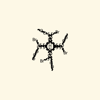 CCCOCCOCCSC1=C(SCCCBr)S/C(=C2\Sc3c4[nH]c(c3S2)C(C)(C)c2[nH]c(c3c2S/C(=C2\SC(SCCCBr)=C(SCCOCCOCCC)S2)S3)C(C)(C)c2[nH]c(c3c2S/C(=C2\SC(SCCCBr)=C(SCCOCCOCCC)S2)S3)C(C)(C)C2=C3S/C(=C5\SC(SCCCBr)=C(SCCOCCOCCOC)S5)SC3=C(C2)C4(C)C)S1